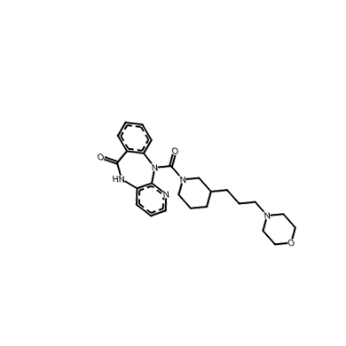 O=C1Nc2cccnc2N(C(=O)N2CCCC(CCCN3CCOCC3)C2)c2ccccc21